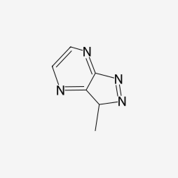 CC1N=Nc2nccnc21